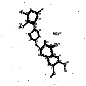 COc1cc2nc(Cc3ccc(-c4cc(C)cc(F)c4O)nc3)[nH]c(=O)c2cc1OC.Cl